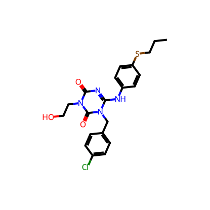 CCCSc1ccc(Nc2nc(=O)n(CCO)c(=O)n2Cc2ccc(Cl)cc2)cc1